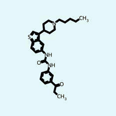 CCCCCN1CCC(c2csc3ccc(NC(=O)Nc4cccc(C(=O)CC)c4)cc23)CC1